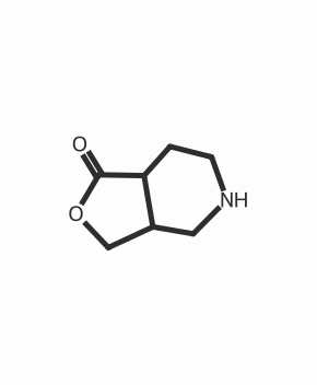 O=C1OCC2CNCCC12